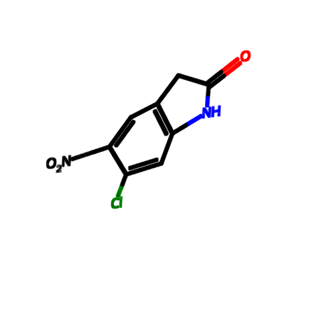 O=C1Cc2cc([N+](=O)[O-])c(Cl)cc2N1